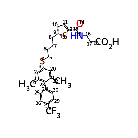 Cc1cc(SCCCCc2ccc(C(=O)NCCC(=O)O)s2)cc(C)c1-c1ccc(C(F)(F)F)cc1